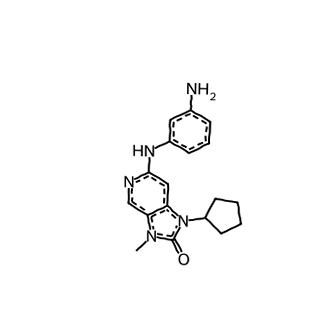 Cn1c(=O)n(C2CCCC2)c2cc(Nc3cccc(N)c3)ncc21